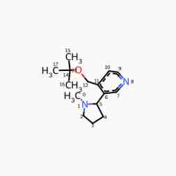 CN1CCCC1c1cnccc1COC(C)(C)C